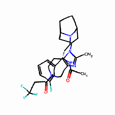 CC(=O)N[C@@H](CCN1C2CCC1CC(n1c(C)nc3c1CCN(C(=O)CC(F)(F)F)C3)C2)c1cccc(F)c1